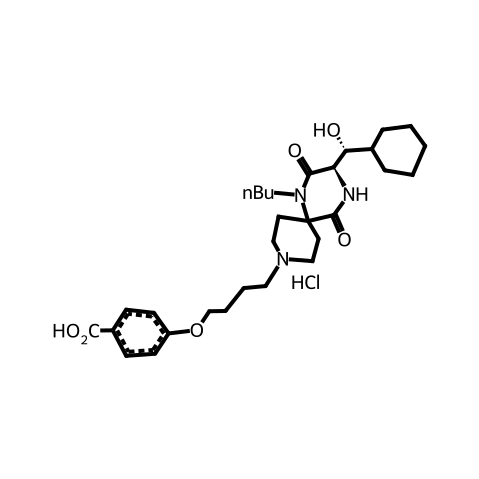 CCCCN1C(=O)[C@@H]([C@H](O)C2CCCCC2)NC(=O)C12CCN(CCCCOc1ccc(C(=O)O)cc1)CC2.Cl